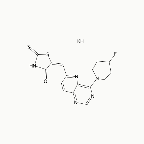 O=C1NC(=S)S/C1=C/c1ccc2ncnc(N3CCC(F)CC3)c2n1.[KH]